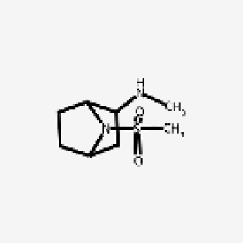 CNC1CC2CCC1N2S(C)(=O)=O